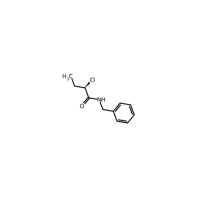 CC[C@@H](Cl)C(=O)NCc1ccccc1